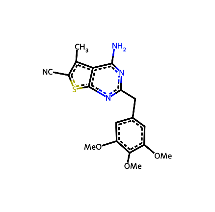 COc1cc(Cc2nc(N)c3c(C)c(C#N)sc3n2)cc(OC)c1OC